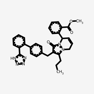 CCCc1c(Cc2ccc(-c3ccccc3-c3nnn[nH]3)cc2)c(=O)n2n1CC=CC2c1ccccc1C(=O)OC